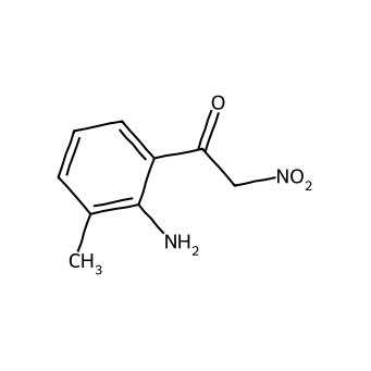 Cc1cccc(C(=O)C[N+](=O)[O-])c1N